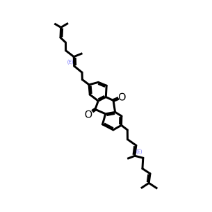 CC(C)=CCC/C(C)=C/CCc1ccc2c(c1)C(=O)c1ccc(CC/C=C(\C)CCC=C(C)C)cc1C2=O